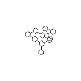 C1=CC2=C(CC1)C1(c3cc(-c4cccc5c6ccccc6c6ccc(-c7cc(-c8ccccc8)cc(-c8ccccc8)n7)cc6c45)ccc32)c2ccccc2-c2ccccc21